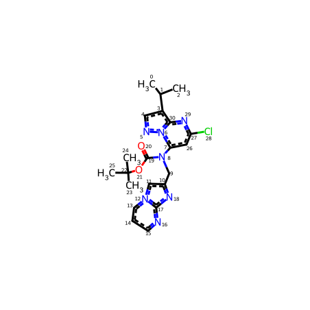 CC(C)c1cnn2c(N(Cc3cn4cccnc4n3)C(=O)OC(C)(C)C)cc(Cl)nc12